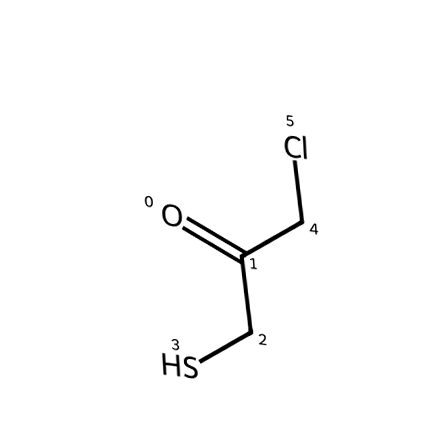 O=C(CS)CCl